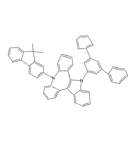 CC1(C)c2ccccc2-c2ccc(N3c4ccccc4-c4c(n(-c5cc(-c6ccccc6)cc(-c6ccccc6)c5)c5ccccc45)-c4ccccc43)cc21